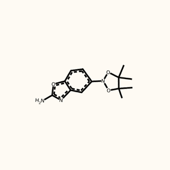 CC1(C)ON(c2ccc3oc(N)nc3c2)OC1(C)C